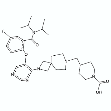 CC(C)N(C(=O)c1cc(F)ccc1Oc1cncnc1N1CC2(CCN(CC3CCN(C(=O)O)CC3)CC2)C1)C(C)C